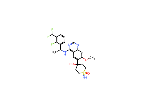 COc1cc2ncnc(NC(C)c3cccc(C(F)F)c3F)c2cc1C1(O)CCS(=N)(=O)CC1